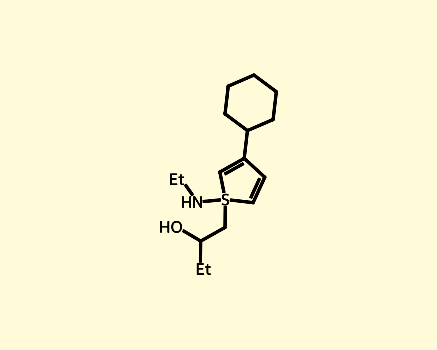 CCNS1(CC(O)CC)C=CC(C2CCCCC2)=C1